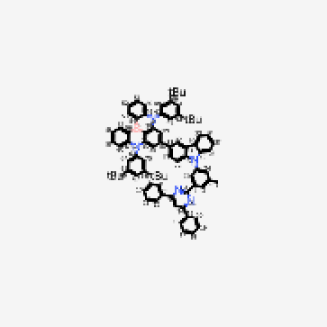 Cc1cc(-c2nc(-c3ccccc3)cc(-c3ccccc3)n2)cc(-n2c3ccccc3c3cc(-c4cc5c6c(c4)N(c4cc(C(C)(C)C)cc(C(C)(C)C)c4)c4ccccc4B6c4ccccc4N5c4cc(C(C)(C)C)cc(C(C)(C)C)c4)ccc32)c1